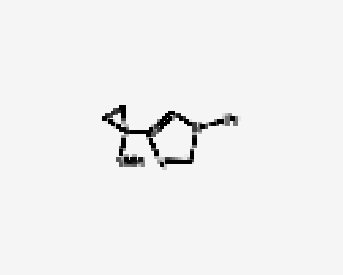 CNC1(c2cn(C(C)C)cn2)CC1